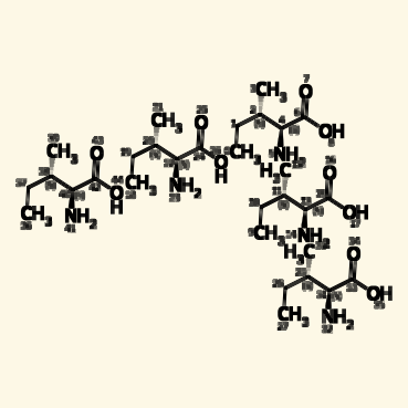 CC[C@H](C)[C@H](N)C(=O)O.CC[C@H](C)[C@H](N)C(=O)O.CC[C@H](C)[C@H](N)C(=O)O.CC[C@H](C)[C@H](N)C(=O)O.CC[C@H](C)[C@H](N)C(=O)O